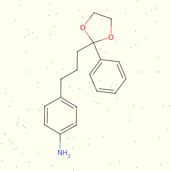 Nc1ccc(CCCC2(c3ccccc3)OCCO2)cc1